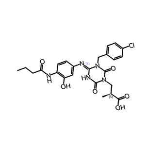 CCCC(=O)Nc1ccc(/N=c2\[nH]c(=O)n(C[C@H](C)C(=O)O)c(=O)n2Cc2ccc(Cl)cc2)cc1O